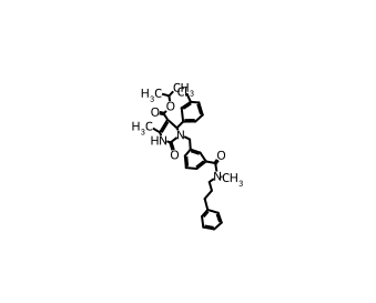 CC1=C(C(=O)OC(C)C)C(c2cccc(Cl)c2)N(Cc2cccc(C(=O)N(C)CCCc3ccccc3)c2)C(=O)N1